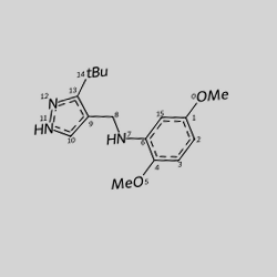 COc1ccc(OC)c(NCc2c[nH]nc2C(C)(C)C)c1